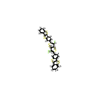 FC1=C(c2ccc3c(c2)sc2c4ccccc4sc32)SC2C(F)=C(c3ccc4c(c3)sc3c5ccccc5sc43)SC12